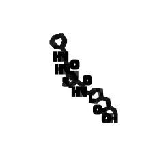 CCC(=Cc1ccc(NC(=O)c2csc(NC(=O)NCc3ccccc3)n2)cc1)C(=O)O